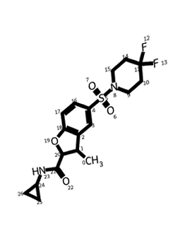 CC1c2cc(S(=O)(=O)N3CCC(F)(F)CC3)ccc2OC1C(=O)NC1CC1